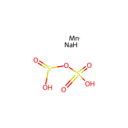 O=S(O)OS(=O)(=O)O.[Mn].[NaH]